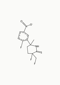 CC1(c2cc([N+](=O)[O-])ccc2F)CCC(F)(CF)C(=S)N1